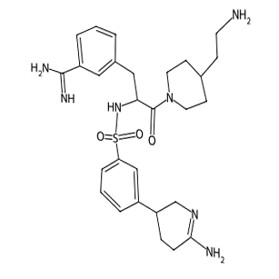 N=C(N)c1cccc(CC(NS(=O)(=O)c2cccc(C3CCC(N)=NC3)c2)C(=O)N2CCC(CCN)CC2)c1